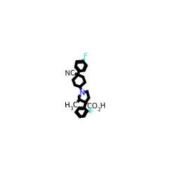 CC1CN(C2CCC(C#N)(c3ccc(F)cc3)CC2)CCC1(C(=O)O)c1ccccc1F